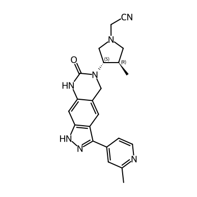 Cc1cc(-c2n[nH]c3cc4c(cc23)CN([C@@H]2CN(CC#N)C[C@H]2C)C(=O)N4)ccn1